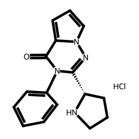 Cl.O=c1c2cccn2nc([C@@H]2CCCN2)n1-c1ccccc1